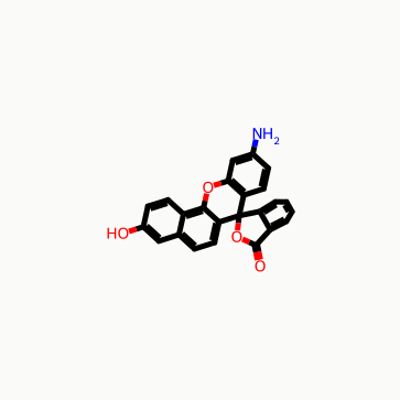 Nc1ccc2c(c1)Oc1c(ccc3cc(O)ccc13)C21OC(=O)c2ccccc21